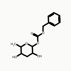 CC1OC(OC(=O)OCc2ccccc2)C(O)CC1O